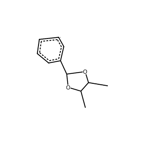 CC1OC(c2c[c]ccc2)OC1C